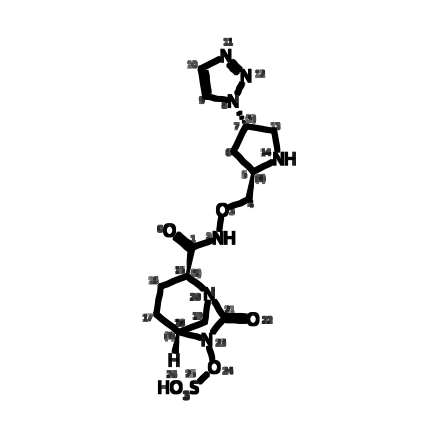 O=C(NOC[C@H]1C[C@H](n2ccnn2)CN1)[C@@H]1CC[C@@H]2CN1C(=O)N2OS(=O)(=O)O